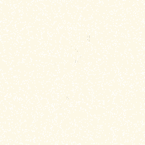 Bc1c(B)c(OCc2ccc(CN3CCOCC3=O)cc2)c2c(c1B)C(=O)N(C1CCC(=O)NC1=O)C2(B)B